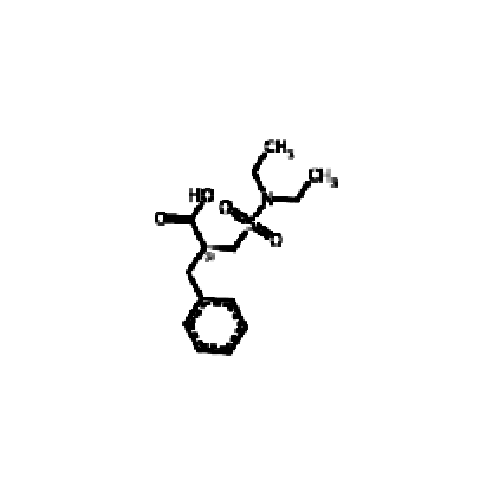 CCN(CC)S(=O)(=O)C[C@@H](Cc1ccccc1)C(=O)O